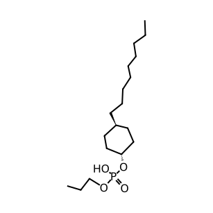 CCCCCCCCC[C@H]1CC[C@H](OP(=O)(O)OCCC)CC1